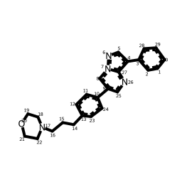 c1ccc(-c2cnn3cc(-c4ccc(CCCN5CCOCC5)cc4)cnc23)cc1